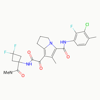 CNC(=O)C1(NC(=O)C(=O)c2c(C)c(C(=O)Nc3ccc(C)c(Cl)c3F)n3c2CCC3)CC(F)(F)C1